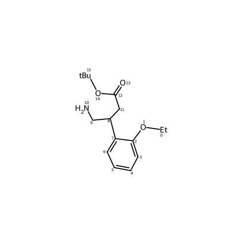 CCOc1ccccc1C(CN)CC(=O)OC(C)(C)C